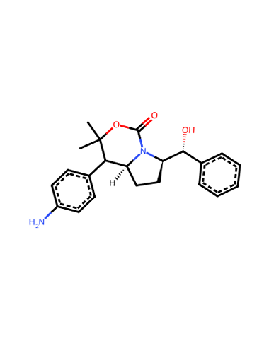 CC1(C)OC(=O)N2[C@@H]([C@H](O)c3ccccc3)CC[C@H]2C1c1ccc(N)cc1